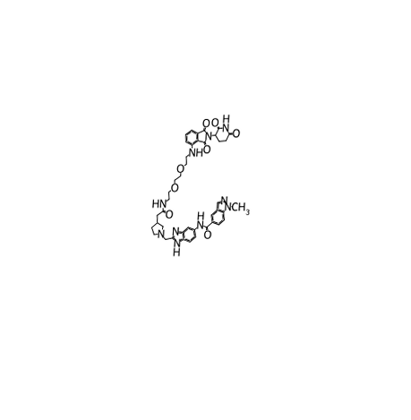 Cn1ncc2cc(C(=O)Nc3ccc4[nH]c(CN5CCC(CC(=O)NCCOCCOCCNc6cccc7c6C(=O)N(C6CCC(=O)NC6=O)C7=O)C5)nc4c3)ccc21